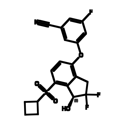 N#Cc1cc(F)cc(Oc2ccc(S(=O)(=O)C3CCC3)c3c2CC(F)(F)[C@H]3O)c1